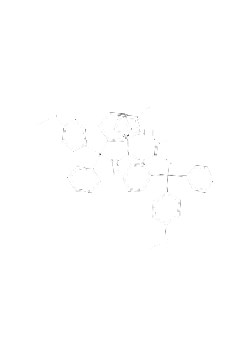 COc1ccc(C(NC(=N)/N=C(/NC(c2ccccc2)(c2ccccc2)c2ccc(OC)cc2)c2ccc(I)[nH]2)(c2ccccc2)c2ccccc2)cc1